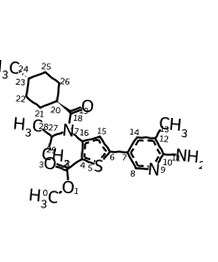 COC(=O)c1sc(-c2cnc(N)c(C)c2)cc1N(C(=O)[C@H]1CC[C@H](C)CC1)C(C)C